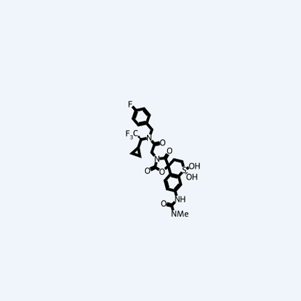 CNC(=O)Nc1ccc2c(c1)S(O)(O)CCC21OC(=O)N(CC(=O)N(Cc2ccc(F)cc2)[C@@H](C2CC2)C(F)(F)F)C1=O